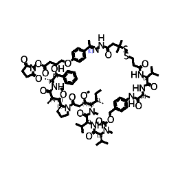 CC[C@H](C)[C@@H]([C@@H](CC(=O)N1CCC[C@H]1[C@H](OC)[C@@H](C)C(=O)N[C@H](C)[C@@H](O)c1ccccc1)OC)N(C)C(=O)[C@@H](NC(=O)[C@H](C(C)C)N(C)C(=O)OCc1ccc(NC(=O)[C@H](C)NC(=O)[C@@H](NC(=O)CCSSC(C)(C)CC(=O)N/N=C(\C)c2ccc(OCCCC(=O)ON3C(=O)CCC3=O)cc2)C(C)C)cc1)C(C)C